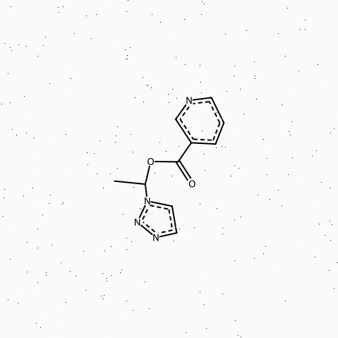 CC(OC(=O)c1cccnc1)n1ccnn1